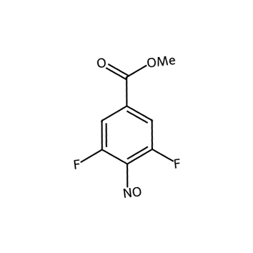 COC(=O)c1cc(F)c(N=O)c(F)c1